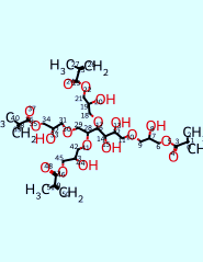 C=C(C)C(=O)OCC(O)COCC(O)C(O)C(OCC(O)COC(=O)C(=C)C)C(COCC(O)COC(=O)C(=C)C)OCC(O)COC(=O)C(=C)C